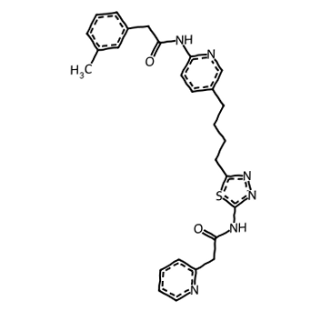 Cc1cccc(CC(=O)Nc2ccc(CCCCc3nnc(NC(=O)Cc4ccccn4)s3)cn2)c1